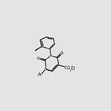 CCOC(=O)c1cn(C(C)C)c(=O)n(-c2ccccc2C)c1=O